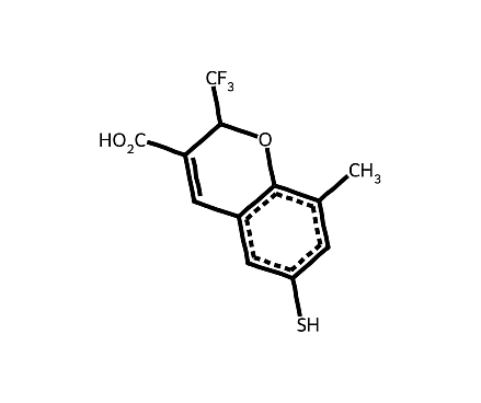 Cc1cc(S)cc2c1OC(C(F)(F)F)C(C(=O)O)=C2